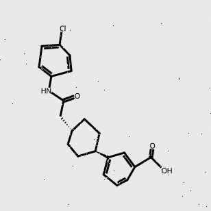 O=C(C[C@H]1CC[C@H](c2cccc(C(=O)O)c2)CC1)Nc1ccc(Cl)cc1